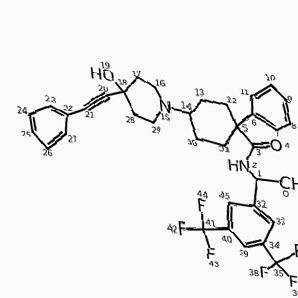 CC(NC(=O)C1(c2ccccc2)CCC(N2CCC(O)(C#Cc3ccccc3)CC2)CC1)c1cc(C(F)(F)F)cc(C(F)(F)F)c1